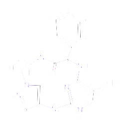 CNC(=O)C(Nc1nc(Nc2cnn(C)c2)ncc1Cl)c1ccccc1